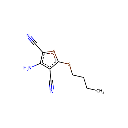 CCCCSc1sc(C#N)c(N)c1C#N